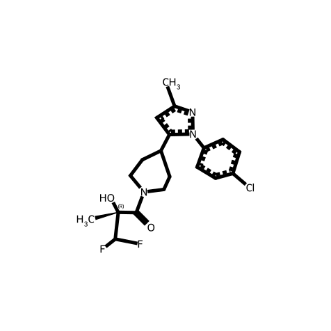 Cc1cc(C2CCN(C(=O)[C@@](C)(O)C(F)F)CC2)n(-c2ccc(Cl)cc2)n1